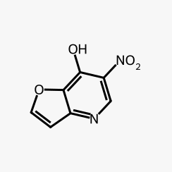 O=[N+]([O-])c1cnc2ccoc2c1O